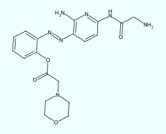 NCC(=O)Nc1ccc(/N=N/c2ccccc2OC(=O)CN2CCOCC2)c(N)n1